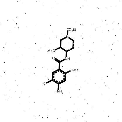 CCOC(=O)N1CCC(NC(=O)c2cc(Cl)c(N)cc2OC)C(OC)C1